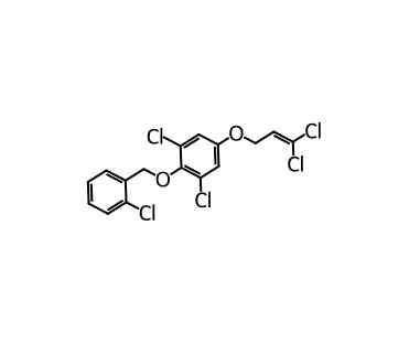 ClC(Cl)=CCOc1cc(Cl)c(OCc2ccccc2Cl)c(Cl)c1